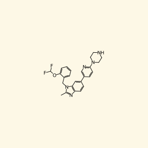 Cc1nc2ccc(-c3ccc(N4CCNCC4)nc3)cc2n1Cc1ccccc1OC(F)F